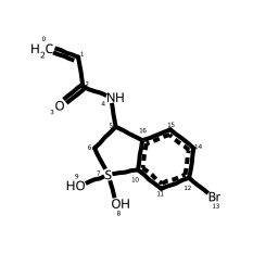 C=CC(=O)NC1CS(O)(O)c2cc(Br)ccc21